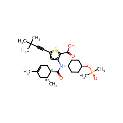 CC1=CC[C@@H](C(=O)N(c2cc(C#CC(C)(C)C)sc2C(=O)O)[C@H]2CC[C@H](OP(C)(C)=O)CC2)[C@H](C)C1